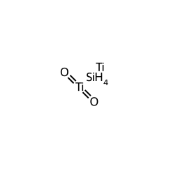 [O]=[Ti]=[O].[SiH4].[Ti]